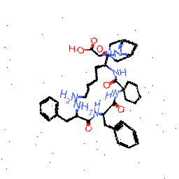 NCCCCC(NC(=O)C1(NC(=O)C(Cc2ccccc2)NC(=O)C(N)Cc2ccccc2)CCCCC1)C(=O)N1C2CC1CN(CC(=O)O)C2